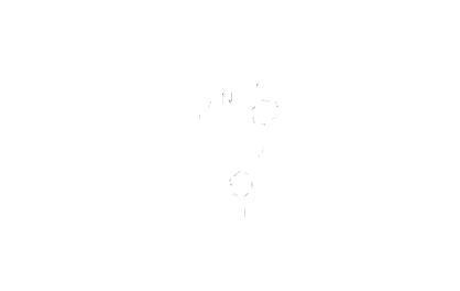 O=C(C1CCCCC1)N1CCOc2ccc(COCc3cccc(F)c3)cc2C1